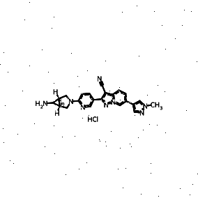 Cl.Cn1cc(-c2ccc3c(C#N)c(-c4ccc(N5C[C@@H]6C(N)[C@@H]6C5)nc4)nn3c2)cn1